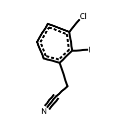 N#CCc1cccc(Cl)c1I